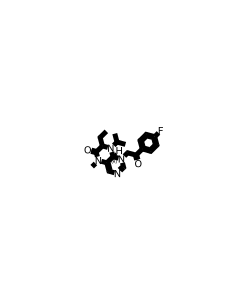 CCC1C(=O)N(C)C2=CN=CN(CC(=O)c3ccc(F)cc3)[C@H]2N1C(C)C